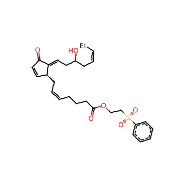 CC/C=C\C[C@H](O)C/C=C1/C(=O)C=C[C@@H]1C/C=C\CCCC(=O)OCCS(=O)(=O)c1ccccc1